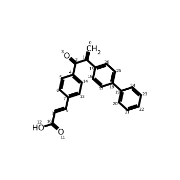 C=C(C(=O)c1ccc(C=CC(=O)O)cc1)c1ccc(-c2ccccc2)cc1